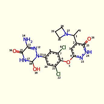 CC(c1cc(Oc2c(Cl)cc(N3N=C(N)C(=O)NC3O)cc2Cl)n[nH]c1=O)N1CCC1